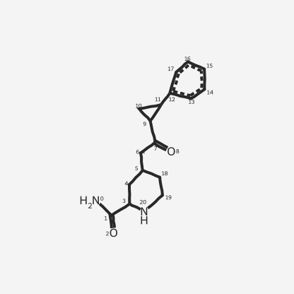 NC(=O)C1CC([CH]C(=O)C2CC2c2ccccc2)CCN1